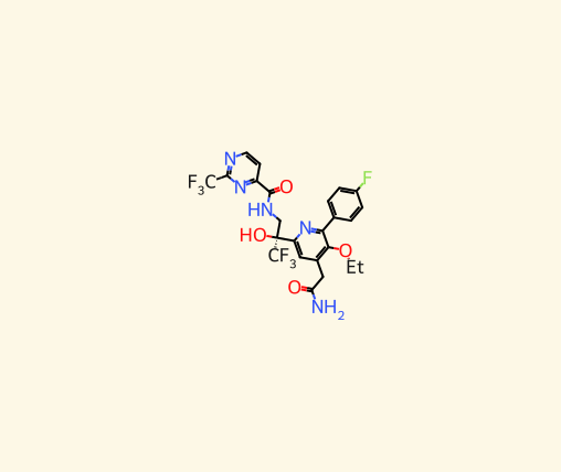 CCOc1c(CC(N)=O)cc([C@@](O)(CNC(=O)c2ccnc(C(F)(F)F)n2)C(F)(F)F)nc1-c1ccc(F)cc1